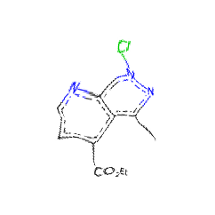 CCOC(=O)c1ccnc2c1c(C)nn2Cl